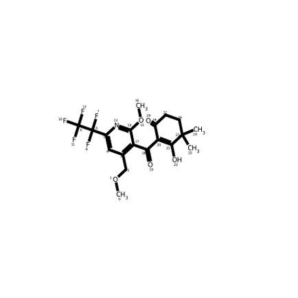 COCc1cc(C(F)(F)C(F)(F)F)nc(OC)c1C(=O)C1=C(O)C(C)(C)CCC1=O